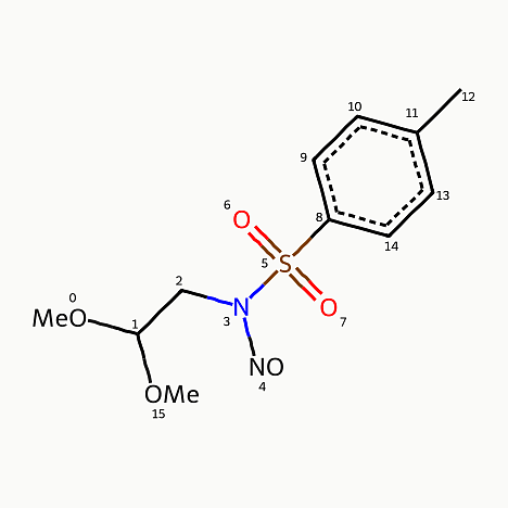 COC(CN(N=O)S(=O)(=O)c1ccc(C)cc1)OC